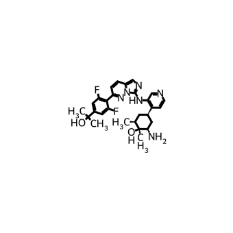 C[C@H]1C[C@@H](c2ccncc2Nc2ncc3ccc(-c4c(F)cc(C(C)(C)O)cc4F)nn23)C[C@@H](N)[C@]1(C)O